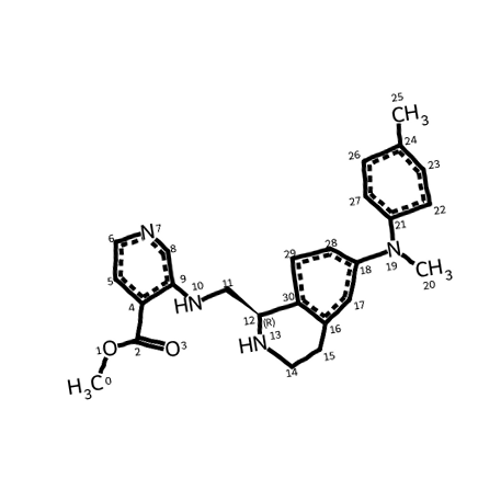 COC(=O)c1ccncc1NC[C@@H]1NCCc2cc(N(C)c3ccc(C)cc3)ccc21